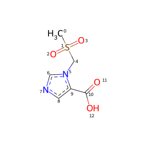 CS(=O)(=O)Cn1cncc1C(=O)O